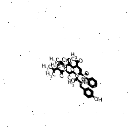 CC(=O)C(/C=C(\N(C(=O)[C@H](C)NC(=O)[C@@H](N)C(C)C)C(=O)[C@@H](N)Cc1ccc(O)cc1)S(=O)(=O)c1ccccc1)CC(=O)OC(C)(C)C